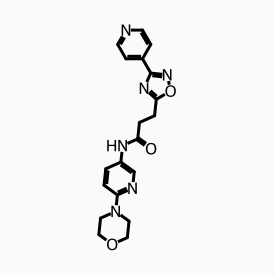 O=C(CCc1nc(-c2ccncc2)no1)Nc1ccc(N2CCOCC2)nc1